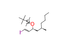 CCCC[C@@H](C)C[C@@H](/C=C/I)O[Si](C)(C)C(C)(C)C